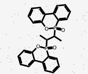 CC(C(C)P1(=O)Oc2ccccc2-c2ccccc21)P1(=O)Oc2ccccc2-c2ccccc21